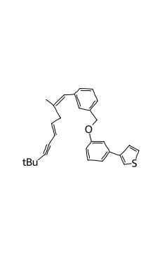 C/C(=C/c1cccc(COc2cccc(-c3ccsc3)c2)c1)C/C=C/C#CC(C)(C)C